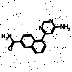 NC(=O)c1ccc2c(-c3cc(N)ncn3)cccc2c1